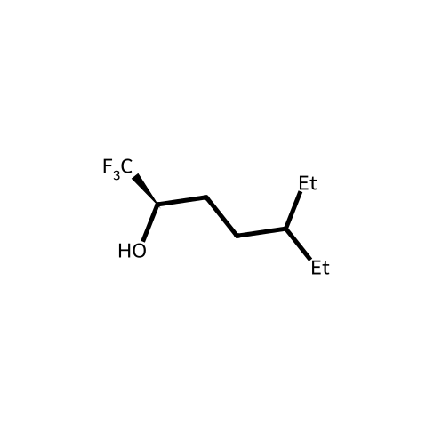 CCC(CC)CC[C@@H](O)C(F)(F)F